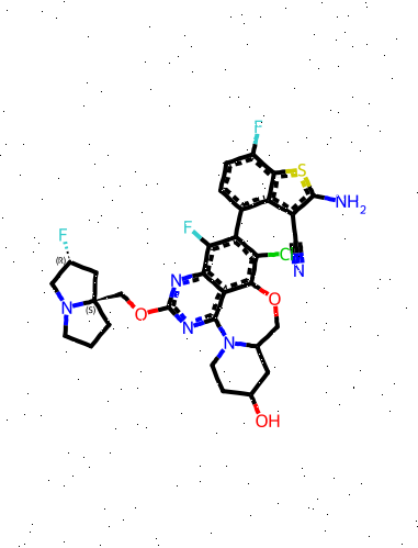 N#Cc1c(N)sc2c(F)ccc(-c3c(Cl)c4c5c(nc(OC[C@@]67CCCN6C[C@H](F)C7)nc5c3F)N3CCC(O)CC3CO4)c12